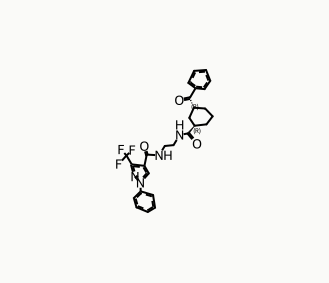 O=C(NCCNC(=O)[C@@H]1CCC[C@@H](C(=O)c2ccccc2)C1)c1cn(-c2ccccc2)nc1C(F)(F)F